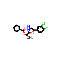 CC(OC(=O)c1ccccc1)C1NCC(c2ccc(Cl)c(Cl)c2)O1